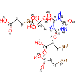 O=C(O)CCS.O=C(O)CCS.O=C(O)CCS.O=c1[nH]c(=O)n(CC(O)(O)O)c(=O)[nH]1